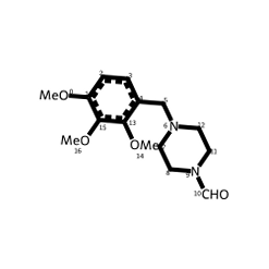 COc1ccc(CN2CCN(C=O)CC2)c(OC)c1OC